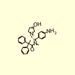 CN(C(=O)C(C)(c1ccccc1)c1ccccc1)[C@H](CN1CC[C@H](O)C1)c1ccc(N)cc1